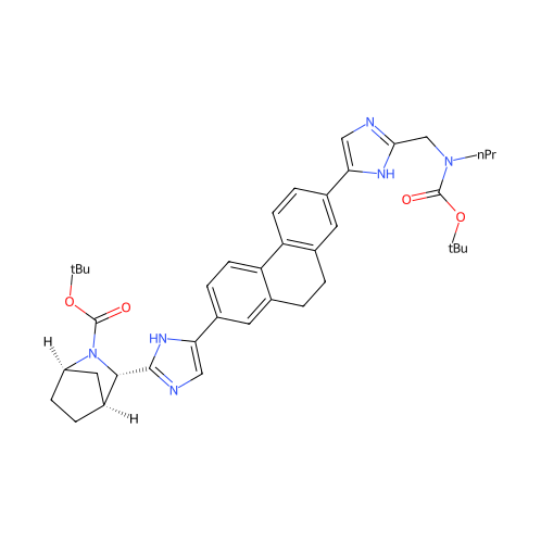 CCCN(Cc1ncc(-c2ccc3c(c2)CCc2cc(-c4cnc([C@@H]5[C@H]6CC[C@H](C6)N5C(=O)OC(C)(C)C)[nH]4)ccc2-3)[nH]1)C(=O)OC(C)(C)C